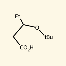 CCC(CC(=O)O)OC(C)(C)C